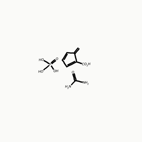 C=C1C=CC=C1C(=O)O.NC(N)=O.O=P(O)(O)O